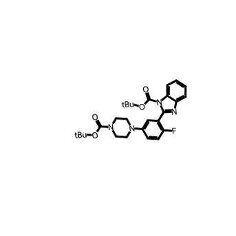 CC(C)(C)OC(=O)N1CCN(c2ccc(F)c(-c3nc4ccccc4n3C(=O)OC(C)(C)C)c2)CC1